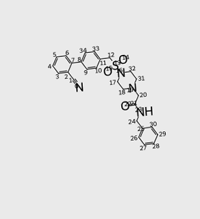 N#Cc1ccccc1-c1ccc(CS(=O)(=O)N2CCN(CC(=O)NCc3ccccc3)CC2)cc1